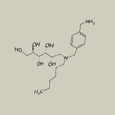 CCCCCCN(Cc1ccc(CN)cc1)C[C@H](O)[C@@H](O)[C@H](O)[C@H](O)CO